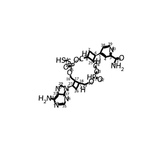 NC(=O)c1cc([C@@H]2C[C@@H]3COP(=O)(SS)OCC4[C@@H](CO[PH](=O)OC[C@H]32)C[C@H]4n2cnc3c(N)ncnc32)ccn1